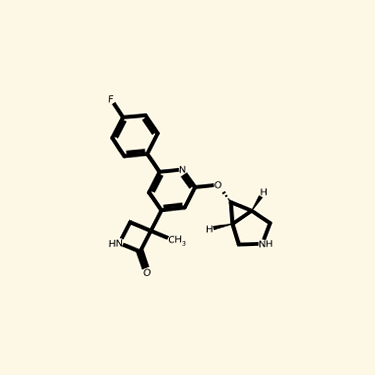 CC1(c2cc(O[C@@H]3[C@@H]4CNC[C@@H]43)nc(-c3ccc(F)cc3)c2)CNC1=O